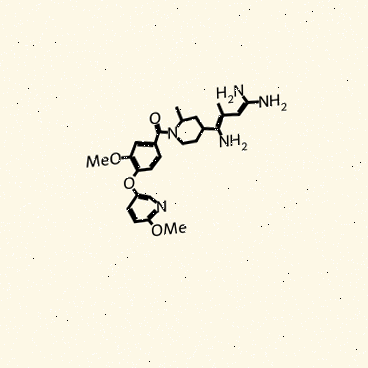 COc1ccc(Oc2ccc(C(=O)N3CCC(/C(N)=C(\C)C=C(N)N)CC3C)cc2OC)cn1